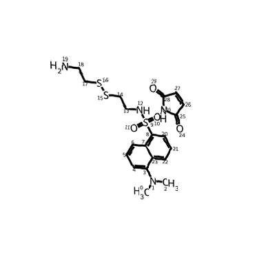 CN(C)c1cccc2c(S(=O)(=O)NCCSSCCN)cccc12.O=C1C=CC(=O)N1